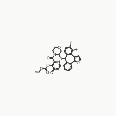 CCOC(=O)Oc1c2n(ccc1=O)N(C1c3ccccc3-c3occc3-c3c1ccc(F)c3F)C1COCCN1C2=O